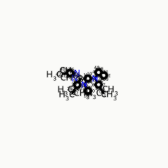 CC(C)(C)c1ccc(N(c2ccc3c(c2)N(c2ccccc2)c2cc(C(C)(C)C)cc4c2B3c2nc3ccc(C(C)(C)C)cc3n2-4)c2cccc3ccccc23)cc1